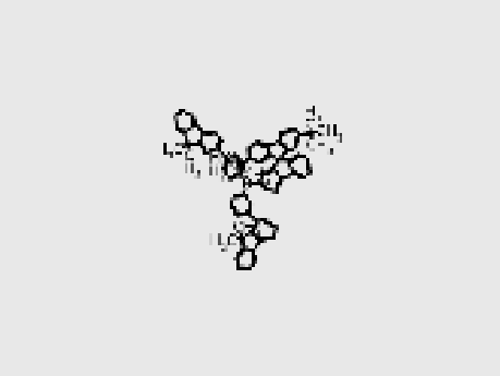 CC(C)(C)c1ccc2c(c1)C1(c3ccccc3-c3ccc(N(c4ccc(-c5ccc6c(c5)C(C)(C)c5ccccc5-6)cc4)c4cccc(-c5cccc6c5C(C)(C)c5ccccc5-6)c4)cc31)c1cc(C(C)(C)C)ccc1-2